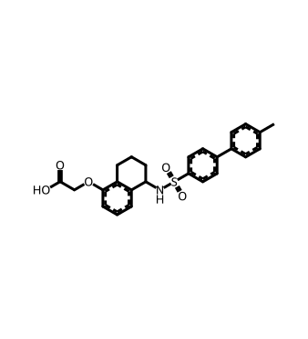 Cc1ccc(-c2ccc(S(=O)(=O)NC3CCCc4c(OCC(=O)O)cccc43)cc2)cc1